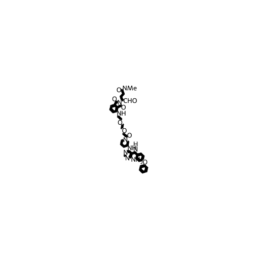 CNC(=O)CCC(C=O)N1C(=O)c2cccc(NCCOCCOCC(=O)N3CCCC(Nc4ncnc(N)c4C(=N)c4ccc(Oc5ccccc5)cc4)C3)c2C1=O